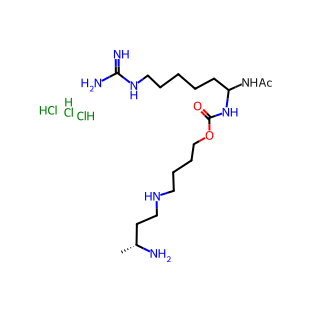 CC(=O)NC(CCCCCNC(=N)N)NC(=O)OCCCCNCC[C@@H](C)N.Cl.Cl.Cl